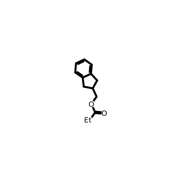 CCC(=O)OCC1Cc2ccccc2C1